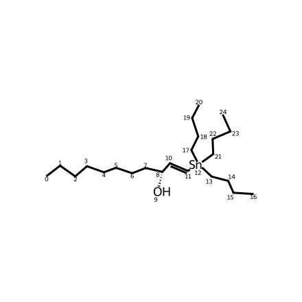 CCCCCCCC[C@@H](O)/C=[CH]/[Sn]([CH2]CCC)([CH2]CCC)[CH2]CCC